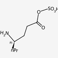 CCC[C@@H](N)CCC(=O)OS(=O)(=O)O